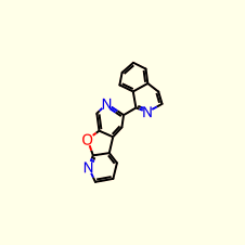 c1ccc2c(-c3cc4c(cn3)oc3ncccc34)nccc2c1